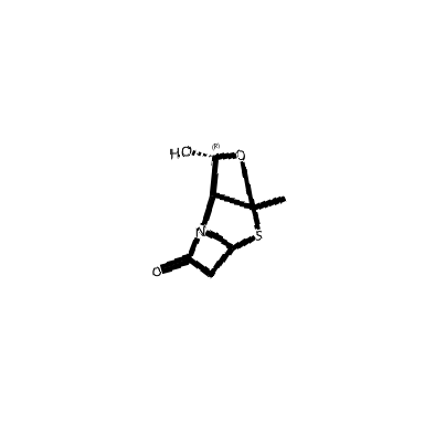 CC12O[C@@H](O)C1N1C(=O)CC1S2